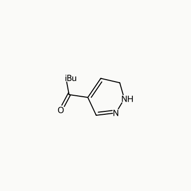 CCC(C)C(=O)C1=CCNN=C1